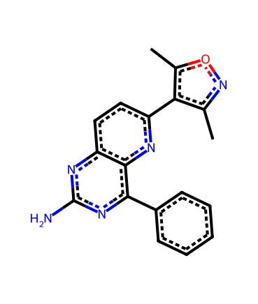 Cc1noc(C)c1-c1ccc2nc(N)nc(-c3ccccc3)c2n1